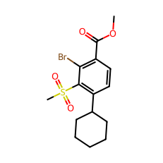 COC(=O)c1ccc(C2CCCCC2)c(S(C)(=O)=O)c1Br